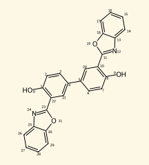 Oc1ccc(-c2ccc(O)c(-c3nc4ccccc4o3)c2)cc1-c1nc2ccccc2o1